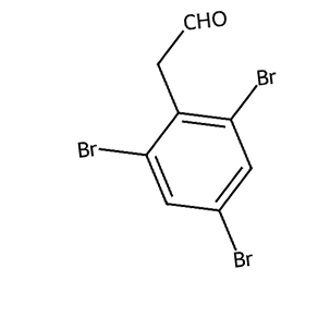 O=CCc1c(Br)cc(Br)cc1Br